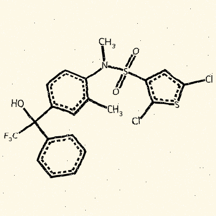 Cc1cc(C(O)(c2ccccc2)C(F)(F)F)ccc1N(C)S(=O)(=O)c1cc(Cl)sc1Cl